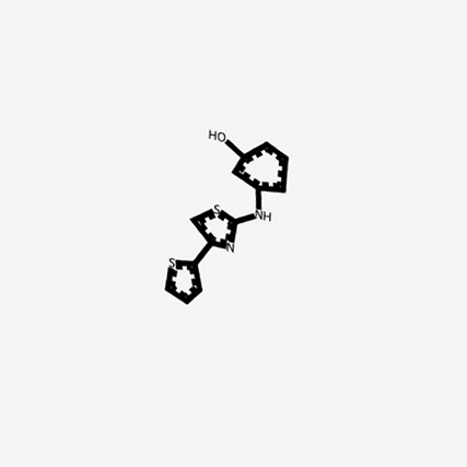 Oc1cccc(Nc2nc(-c3cccs3)cs2)c1